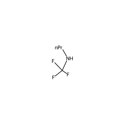 CCCNC(F)(F)F